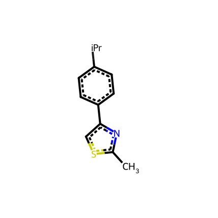 Cc1nc(-c2ccc(C(C)C)cc2)cs1